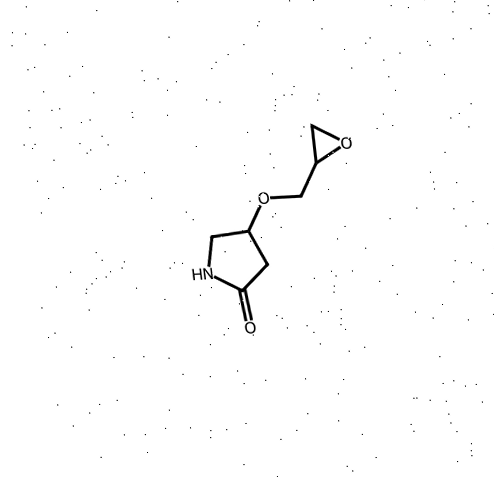 O=C1CC(OCC2CO2)CN1